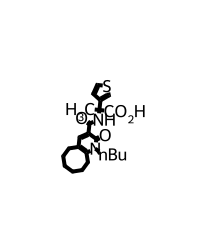 CCCCn1c2c(cc(C(=O)NC(C)(C(=O)O)c3ccsc3)c1=O)CCCCCC2